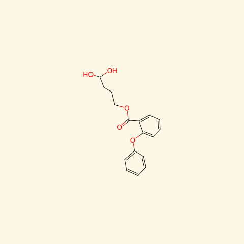 O=C(OCCCC(O)O)c1ccccc1Oc1ccccc1